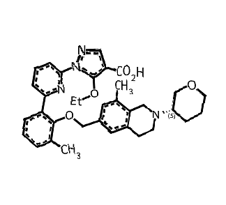 CCOc1c(C(=O)O)cnn1-c1cccc(-c2cccc(C)c2OCc2cc(C)c3c(c2)CCN([C@H]2CCCOC2)C3)n1